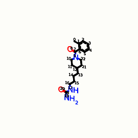 Cc1ccccc1C(=O)N1CCC(CCCCNC(N)=O)CC1